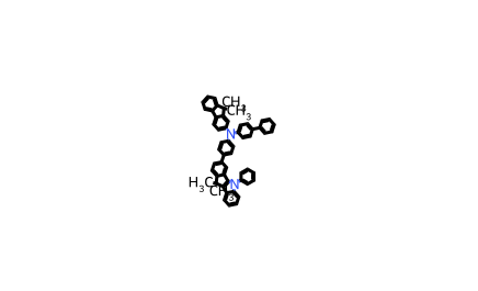 CC1(C)c2ccccc2-c2ccc(N(c3ccc(-c4ccccc4)cc3)c3ccc(-c4ccc5c(c4)-c4c(c6ccccc6n4-c4ccccc4)C5(C)C)cc3)cc21